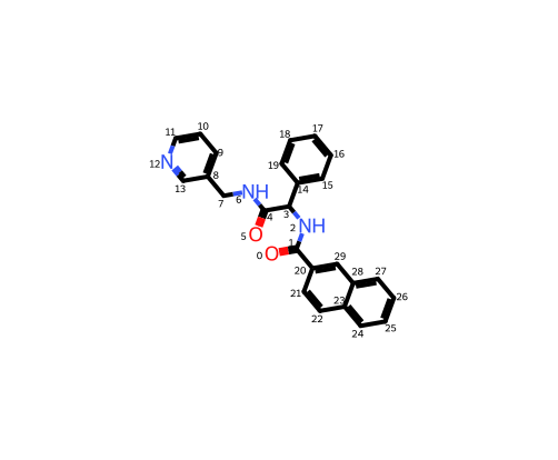 O=C(NC(C(=O)NCc1cccnc1)c1ccccc1)c1ccc2ccccc2c1